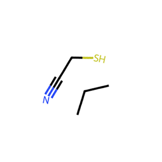 CCC.N#CCS